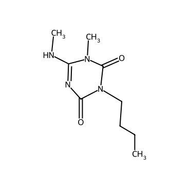 CCCCn1c(=O)nc(NC)n(C)c1=O